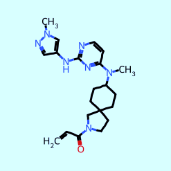 C=CC(=O)N1CCC2(CCC(N(C)c3ccnc(Nc4cnn(C)c4)n3)CC2)C1